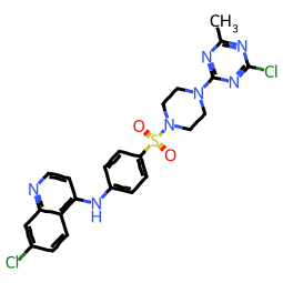 Cc1nc(Cl)nc(N2CCN(S(=O)(=O)c3ccc(Nc4ccnc5cc(Cl)ccc45)cc3)CC2)n1